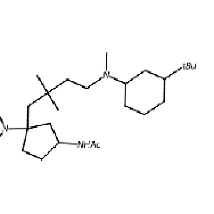 CC(=O)NC1CCC(CC(C)(C)CCN(C)C2CCCC(C(C)(C)C)C2)(N(C)C)C1